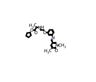 Cc1cc(/C=N/c2cccc(OCCNC(C)C(=O)OC3CCCC3)c2)cn(C)c1=O